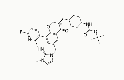 Cc1nc(F)ccc1-c1cc(Cn2ccn(C)c2=N)cc2c1OC[C@@H](CC1CCC(NC(=O)OC(C)(C)C)CC1)C2=O